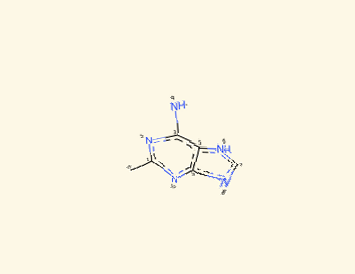 Cc1nc([NH])c2[nH]cnc2n1